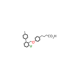 Cc1ccc(-c2cccc(F)c2COc2ccc(CCCC(=O)O)cc2)cc1